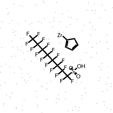 O=S(=O)(O)C(F)(F)C(F)(F)C(F)(F)C(F)(F)C(F)(F)C(F)(F)C(F)(F)C(F)(F)F.[Zr][C]1=CC=CC1